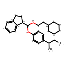 CCC(C)c1ccc(OC(OCCC2CCCCC2)C2CCc3ccccc32)cc1